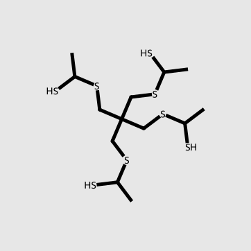 CC(S)SCC(CSC(C)S)(CSC(C)S)CSC(C)S